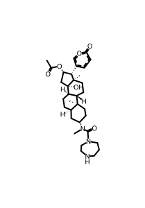 CC(=O)O[C@H]1C[C@]2(O)[C@@H]3CC[C@@H]4C[C@@H](N(C)C(=O)N5CCCNCC5)CC[C@]4(C)[C@H]3CC[C@]2(C)[C@H]1c1ccc(=O)oc1